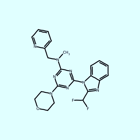 CN(Cc1ccccn1)c1nc(N2CCOCC2)nc(-n2c(C(F)F)nc3ccccc32)n1